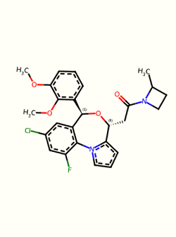 COc1cccc([C@H]2O[C@H](CC(=O)N3CCC3C)c3cccn3-c3c(F)cc(Cl)cc32)c1OC